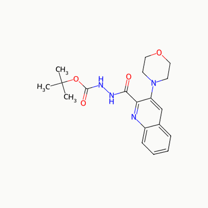 CC(C)(C)OC(=O)NNC(=O)c1nc2ccccc2cc1N1CCOCC1